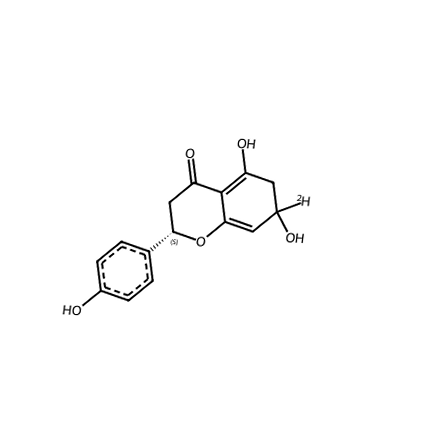 [2H]C1(O)C=C2O[C@H](c3ccc(O)cc3)CC(=O)C2=C(O)C1